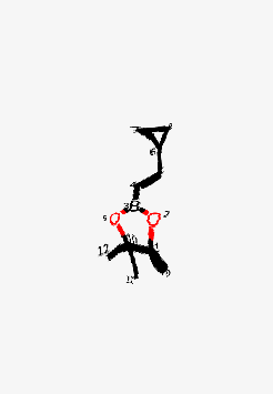 C=C1OB(/C=C/C2CC2)OC1(C)C